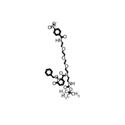 CC(C)(C)OC(=O)NCCN(CCOCCOCCOCCNC(=O)c1ccc([N+](=O)[O-])cc1)C(=O)c1cccc(=O)n1OCc1ccccc1